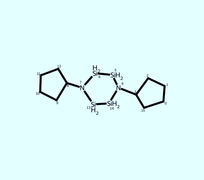 C1CCC(N2[SiH2][SiH2]N(C3CCCC3)[SiH2][SiH2]2)C1